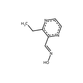 CCc1nccnc1C=NO